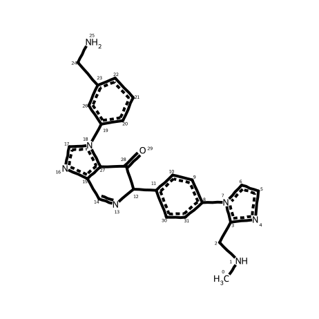 CNCc1nccn1-c1ccc(C2N=Cc3ncn(-c4cccc(CN)c4)c3C2=O)cc1